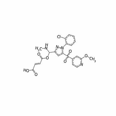 CNC(OC(=O)/C=C/C(=O)O)c1cc(S(=O)(=O)c2ccnc(OC)c2)n(-c2ccccc2Cl)n1